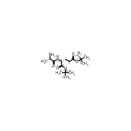 C[C@H](N)C(=O)N[C@H](CCC(=O)OC(C)(C)C)C(=O)OC(C)(C)C